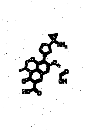 COc1cc2cc(C(=O)O)c(=O)n3c2c(c1N1CC[C@@H](C2(N)CC2)C1)OC[C@@H]3C.O=CO